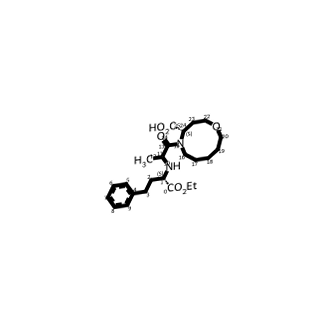 CCOC(=O)[C@H](CCc1ccccc1)NC(C)C(=O)N1CCCCCOCC[C@H]1C(=O)O